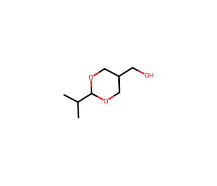 CC(C)C1OCC(CO)CO1